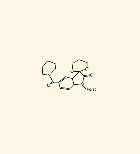 CCCC(C)N1C(=O)C2(OCCCO2)C2C=C(C(=O)N3CCCCC3)C=CC21